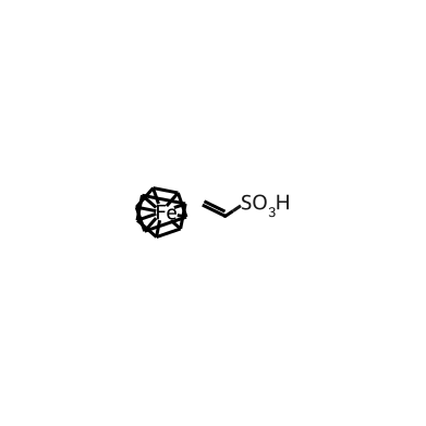 C=CS(=O)(=O)O.[CH]12[CH]3[CH]4[CH]5[CH]1[Fe]23451678[CH]2[CH]1[CH]6[CH]7[CH]28